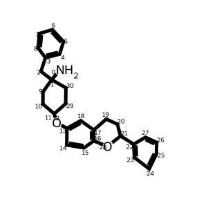 NC1(Cc2ccccc2)CCC(Oc2ccc3c(c2)CCC(c2ccccc2)O3)CC1